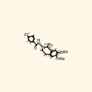 CCc1ccc(C(=O)NN2CCc3cc(OC)c(OC)cc3C2C(C)C)cc1